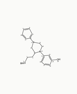 COCCC1CN(c2ccccc2)CCN1c1cccc(O)c1